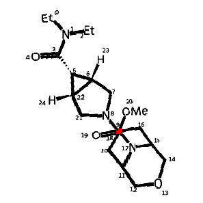 CCN(CC)C(=O)[C@@H]1[C@@H]2CN(C3CC4COCC(C3)N4C(=O)OC)C[C@@H]21